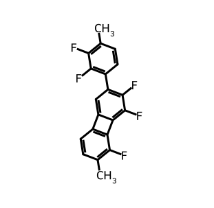 Cc1ccc(-c2cc3c(c(F)c2F)-c2c-3ccc(C)c2F)c(F)c1F